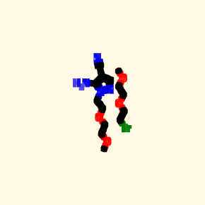 COCCOCCBr.COCCOCCn1ncc(C#N)c1N